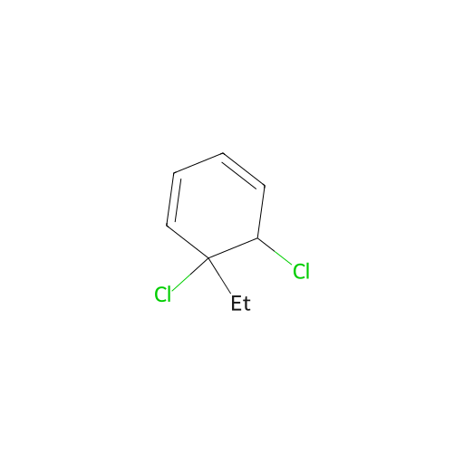 CCC1(Cl)C=CC=CC1Cl